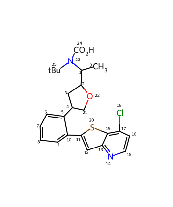 CC(C1CC(c2ccccc2-c2cc3nccc(Cl)c3s2)CO1)N(C(=O)O)C(C)(C)C